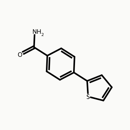 NC(=O)c1ccc(-c2cccs2)cc1